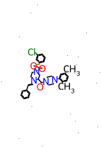 Cc1ccc(C)c(N2CCN(C(=O)C3CN(S(=O)(=O)c4cccc(Cl)c4)CCN3C=Cc3ccccc3)CC2)c1